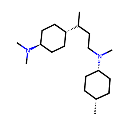 CC(CCN(C)[C@H]1CC[C@@H](C)CC1)[C@H]1CC[C@H](N(C)C)CC1